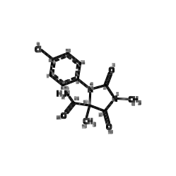 CN1C(=O)N(c2ccc(Cl)cc2)C(C)(C(N)=O)C1=O